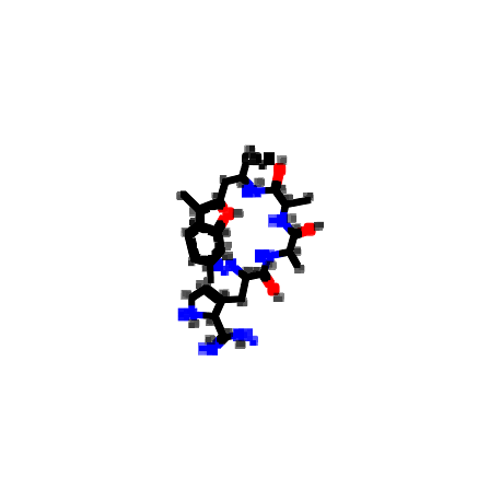 Cc1ccc2c(C)c(CC(NC(=O)C(C)NC(=O)C(C)NC(=O)C(N)CC3=CCNC3C(=N)N)C(=O)O)oc2c1